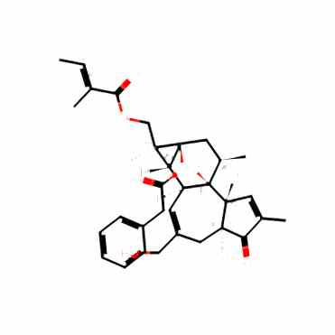 C/C=C(\C)C(=O)OC[C@]1(C)[C@H]2[C@@H]3C=C(CO)C[C@]4(O)C(=O)C(C)=C[C@H]4[C@@]3(O)[C@H](C)C[C@]21OC(=O)Cc1ccccc1